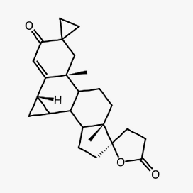 C[C@]12CC3(CC3)C(=O)C=C1[C@H]1CC1C1C2CC[C@@]2(C)C1CC[C@@]21CCC(=O)O1